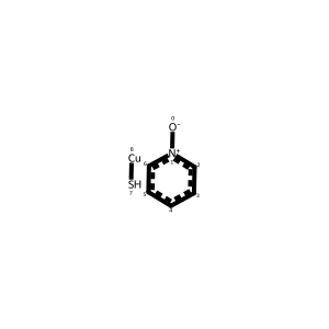 [O-][n+]1ccccc1.[SH][Cu]